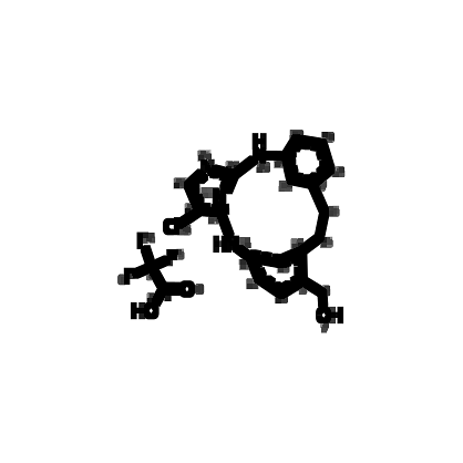 O=C(O)C(F)(F)F.OCc1ccc2cc1CCc1cccc(c1)Nc1ncc(Cl)c(n1)N2